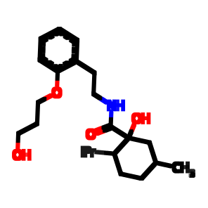 CC1CCC(C(C)C)C(O)(C(=O)NCCc2ccccc2OCCCO)C1